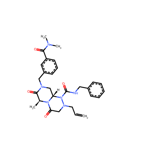 C=CCN1CC(=O)N2[C@@H](C)C(=O)N(Cc3cccc(C(=O)N(C)C)c3)C[C@@H]2N1C(=O)NCc1ccccc1